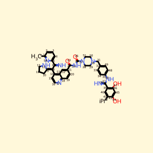 Cc1cccc(C(=N)/C(=C2/CCCN2)c2ccnc3ccc(C(=O)NC(=O)N4CCN(Cc5ccc(NC(=N)c6cc(C(C)C)c(O)cc6O)cc5)CC4)cc23)n1